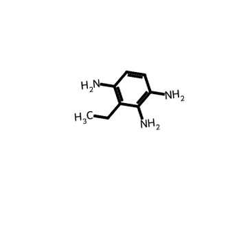 CCc1c(N)ccc(N)c1N